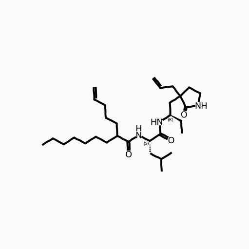 C=CCCCC(CCCCCCC)C(=O)N[C@@H](CC(C)C)C(=O)N[C@H](CC)CC1(CC=C)CCNC1=O